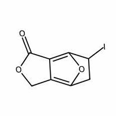 O=C1OCc2c3oc(c21)C(I)C3